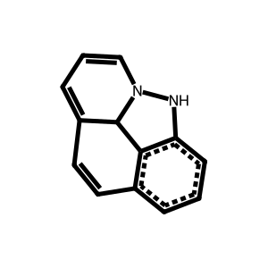 C1=CN2Nc3cccc4c3C2C(=C1)C=C4